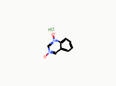 Cl.[O-][n+]1cc2ccccc2[n+]([O-])c1